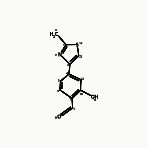 Cc1nc(-c2ccc(C=O)c(O)c2)cs1